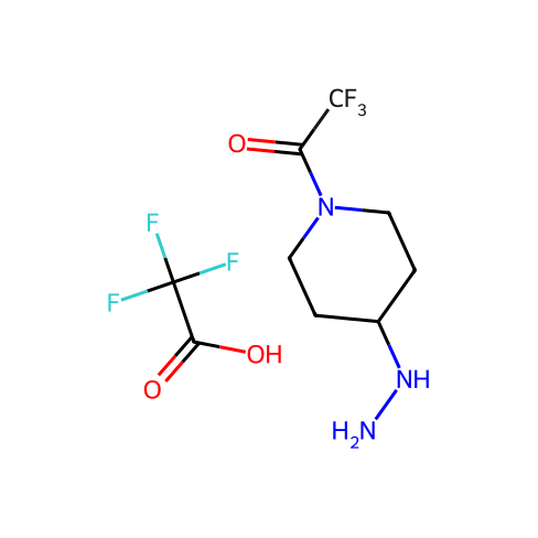 NNC1CCN(C(=O)C(F)(F)F)CC1.O=C(O)C(F)(F)F